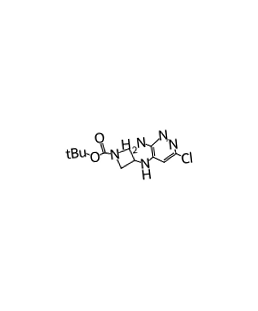 CC(C)(C)OC(=O)N1CC(Nc2cc(Cl)nnc2N)C1